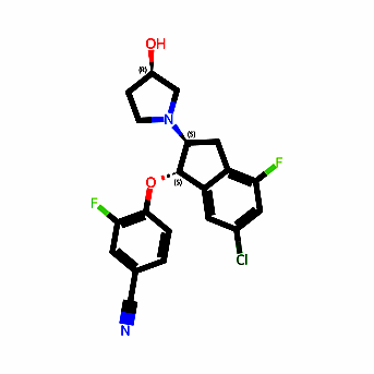 N#Cc1ccc(O[C@H]2c3cc(Cl)cc(F)c3C[C@@H]2N2CC[C@@H](O)C2)c(F)c1